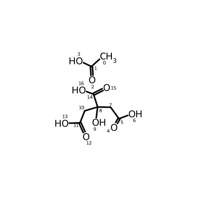 CC(=O)O.O=C(O)CC(O)(CC(=O)O)C(=O)O